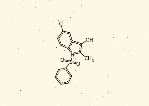 Cc1c(O)c2cc(Cl)ccc2n1S(=O)(=O)c1ccccc1